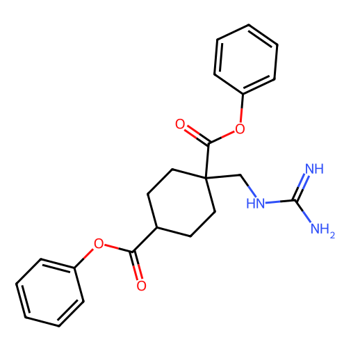 N=C(N)NCC1(C(=O)Oc2ccccc2)CCC(C(=O)Oc2ccccc2)CC1